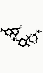 CC1(c2cc(Nc3cc(F)cc4cc(Cl)cnc34)ccc2F)COCC(N)=N1